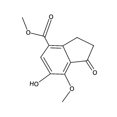 COC(=O)c1cc(O)c(OC)c2c1CCC2=O